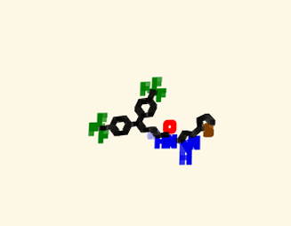 O=C(/C=C/C=C(c1ccc(C(F)(F)F)cc1)c1ccc(C(F)(F)F)cc1)Nc1cc(-c2cccs2)n[nH]1